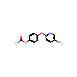 NC(=O)Oc1ccc(Oc2ccc([N+](=O)[O-])cn2)cc1